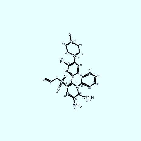 C=CCS(=O)(=O)C1=C(c2ccc(N3CCN(C)CC3)c(CC)c2)N(c2cccnc2)C(C(=O)O)C(N)=N1